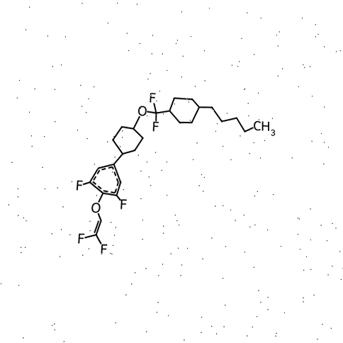 CCCCCC1CCC(C(F)(F)OC2CCC(c3cc(F)c(OC=C(F)F)c(F)c3)CC2)CC1